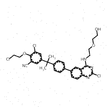 CC(C)(c1ccc(-c2ccc3nc(Cl)nc(NCCOCCO)c3c2)cc1)c1cc(Cl)c(OCCCl)c(C#N)c1